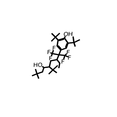 CCC(CC(C(O)CC(C)(C)C)C(C)(C)C)C(c1cc(C(C)(C)C)c(O)c(C(C)(C)C)c1)(C(F)(F)F)C(F)(F)F